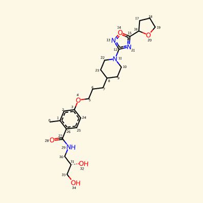 Cc1cc(OCCCC2CCN(c3noc(C4CCCO4)n3)CC2)ccc1C(=O)NC[C@H](O)CO